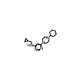 c1nc(NCC2CC2)cc(N2CCN(C3CCCCC3)CC2)n1